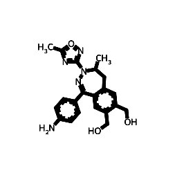 Cc1nc(N2N=C(c3ccc(N)cc3)c3cc(CO)c(CO)cc3CC2C)no1